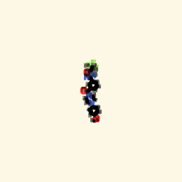 COc1ccc(N2CCN(C(=O)c3cccc(-c4noc(C(F)(F)F)n4)c3)CC2)cc1